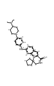 CN(C)C1CCN(c2ccc(Nc3ncc4cc5n(c4n3)C3(CCCC3)CNC5=O)nn2)CC1